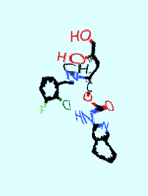 CN(Cc1cccc(F)c1Cl)[C@H](COC(=O)Nc1cc2ccccc2cn1)C[C@@H](O)CO